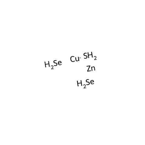 S.[Cu].[SeH2].[SeH2].[Zn]